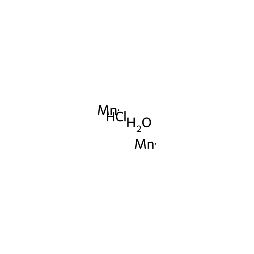 Cl.O.[Mn].[Mn]